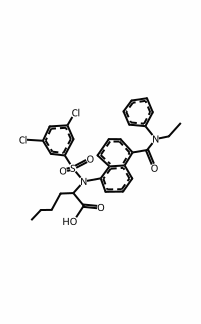 CCCCC(C(=O)O)N(c1cccc2c(C(=O)N(CC)c3ccccc3)cccc12)S(=O)(=O)c1cc(Cl)cc(Cl)c1